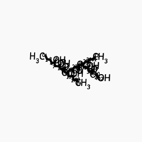 CCCCCC(O)CC(O)CC(=O)OC(CCCCC)CC(O)CC(=O)OC(CCCCC)CC(O)CC(=O)OCCO